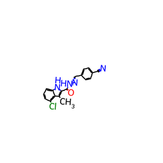 Cc1c(C(=O)NN=Cc2ccc(C#N)cc2)[nH]c2cccc(Cl)c12